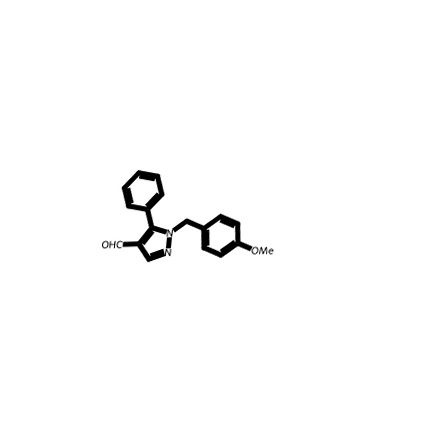 COc1ccc(Cn2ncc(C=O)c2-c2ccccc2)cc1